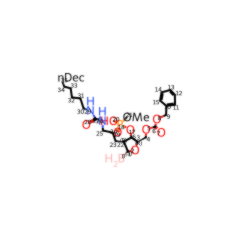 B[C@@H]1O[C@H](COC(=O)OCc2ccccc2)C(OP(=O)(O)OC)[C@@H]1CCCNC(=O)NCCCCCCCCCCCCCCC